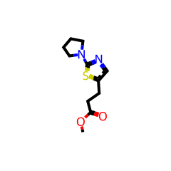 COC(=O)CCc1cnc(N2CCCC2)s1